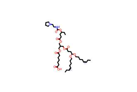 CC/C=C\CCCCOC(CCC(=O)OCC(COC(=O)CCCCCC(=O)O)COC(=O)CCC(CC)OC(=O)NCCN1CCCC1)OCCCC/C=C\CC